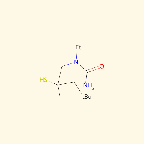 CCN(CC(C)(S)CC(C)(C)C)C(N)=O